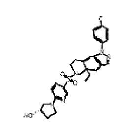 CC[C@]12Cc3cnn(-c4ccc(F)cc4)c3C=C1CCN(S(=O)(=O)c1ccc(N3CC[C@H](O)C3)nc1)C2